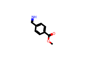 COC(=O)c1ccc(C=N)cc1